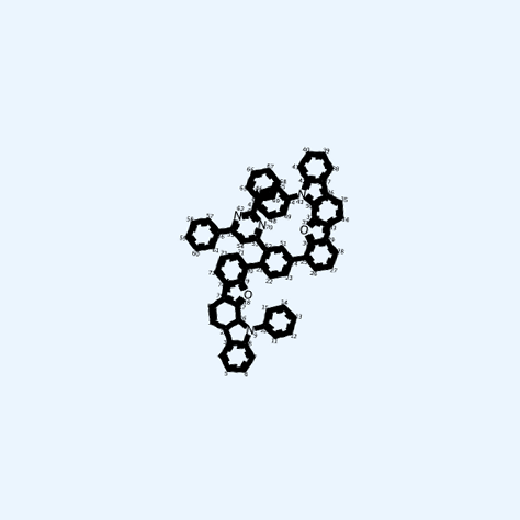 C1=CC2c3ccccc3N(c3ccccc3)C2c2oc3c(-c4ccc(-c5cccc6c5oc5c6ccc6c7ccccc7n(-c7ccccc7)c65)cc4-c4cc(-c5ccccc5)nc(-c5ccccc5)n4)cccc3c21